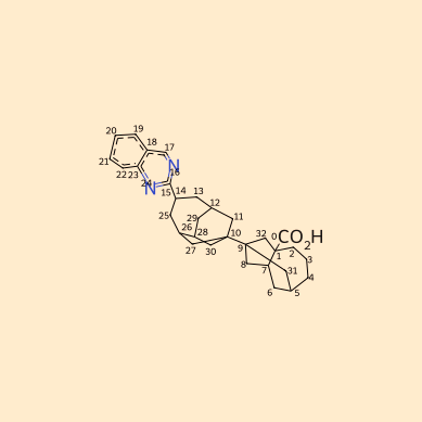 O=C(O)C12CCCC3CC1CC(C14CC5CC(c6ncc7ccccc7n6)CC(C1)C(C5)C4)(C3)C2